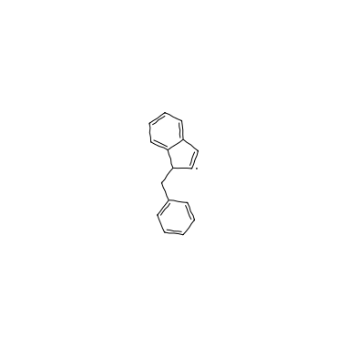 [C]1=Cc2ccccc2C1Cc1ccccc1